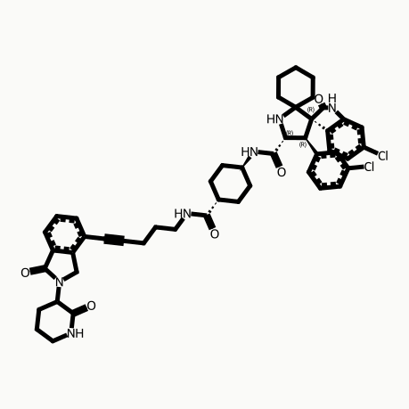 O=C1NCCCC1N1Cc2c(C#CCCCNC(=O)[C@H]3CC[C@H](NC(=O)[C@@H]4NC5(CCCCC5)[C@@]5(C(=O)Nc6cc(Cl)ccc65)[C@H]4c4cccc(Cl)c4)CC3)cccc2C1=O